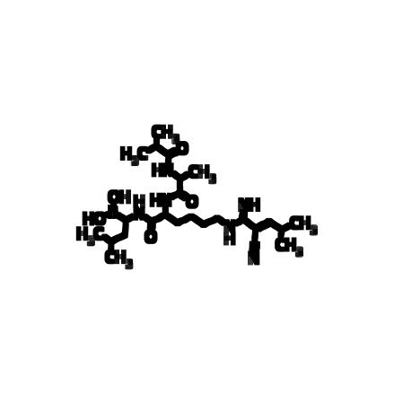 CC(C)C=C(C#N)C(=N)NCCCCC(NC(=O)C(C)NC(=O)C(C)C)C(=O)NC(CC(C)C)B(O)O